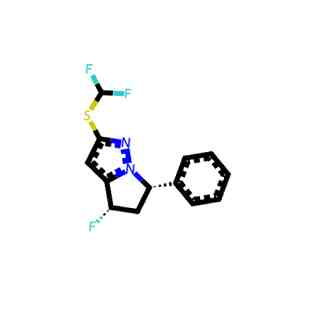 FC(F)Sc1cc2n(n1)[C@H](c1ccccc1)C[C@@H]2F